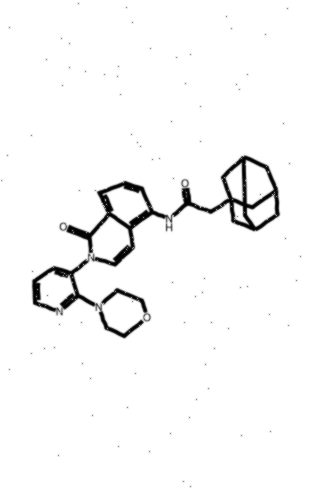 O=C(CC12CC3CC(CC(C3)C1)C2)Nc1cccc2c(=O)n(-c3cccnc3N3CCOCC3)ccc12